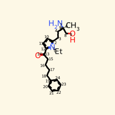 CCn1c(CC[C@@](C)(N)CO)ccc1C(=O)CCCCc1ccccc1